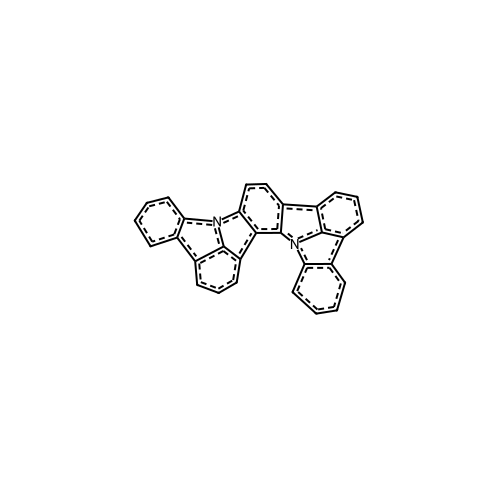 c1ccc2c(c1)c1cccc3c4c(ccc5c6cccc7c8ccccc8n(c76)c54)n2c13